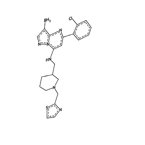 Bc1cnn2c(NCC3CCCN(Cc4nccs4)C3)cc(-c3ccccc3Cl)nc12